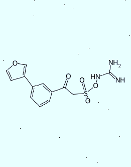 N=C(N)NOS(=O)(=O)CC(=O)c1cccc(-c2ccoc2)c1